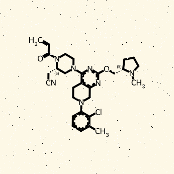 C=CC(=O)N1CCN(c2nc(OC[C@@H]3CCCN3C)nc3c2CCN(c2cccc(C)c2Cl)C3)C[C@@H]1CC#N